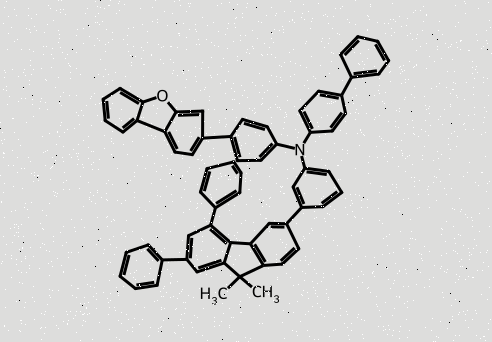 CC1(C)c2ccc(-c3cccc(N(c4ccc(-c5ccccc5)cc4)c4ccc(-c5ccc6c(c5)oc5ccccc56)cc4)c3)cc2-c2c(-c3ccccc3)cc(-c3ccccc3)cc21